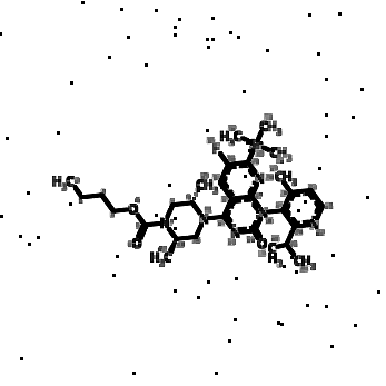 CCCCOC(=O)N1C[C@H](C)N(c2nc(=O)n(-c3c(C)ccnc3C(C)C)c3n[c]([Sn]([CH3])([CH3])[CH3])c(F)cc23)C[C@H]1C